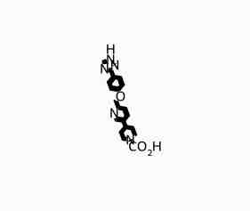 O=C(O)N1CCC(c2ccc(COc3ccc(-c4nc[nH]n4)cc3)nc2)CC1